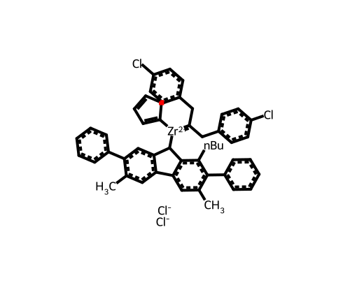 CCCCc1c(-c2ccccc2)c(C)cc2c1[CH]([Zr+2]([C]1=CC=CC1)=[C](Cc1ccc(Cl)cc1)Cc1ccc(Cl)cc1)c1cc(-c3ccccc3)c(C)cc1-2.[Cl-].[Cl-]